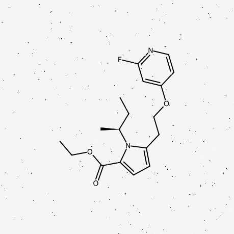 CCOC(=O)c1ccc(CCOc2ccnc(F)c2)n1[C@@H](C)CC